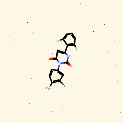 O=c1cc(-c2c(F)cccc2F)[nH]c(=O)n1-c1ccc(C(F)(F)F)c(Cl)c1